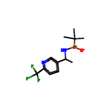 CC(N[S+]([O-])C(C)(C)C)c1ccc(C(F)(F)F)nc1